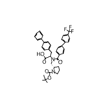 CC(C)(C)OC(=O)N1CCC[C@H]1CN(C(=O)c1ccc(-c2ccc(C(F)(F)F)cc2)cc1)C(Cc1ccc(-c2ccccc2)cc1)C(=O)O